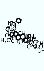 CC(C)C1=C2[C@H]3CC[C@@H]4[C@@]5(C)CC[C@H](OC(=O)[C@H]6C[C@@H](C(=O)O)C6(C)C)C(C)(C)[C@@H]5CC[C@@]4(C)[C@]3(C)CC[C@@]2(C(=O)N2CCC[C@H]2c2ncc(-c3ccccc3)[nH]2)CC1=O